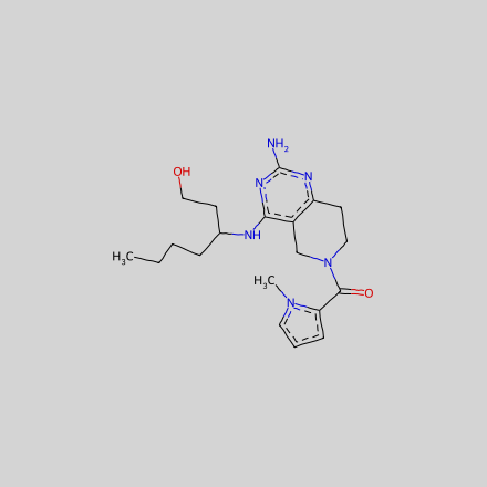 CCCCC(CCO)Nc1nc(N)nc2c1CN(C(=O)c1cccn1C)CC2